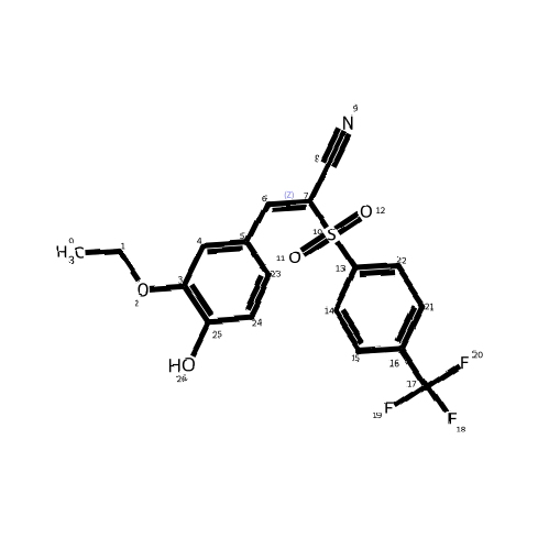 CCOc1cc(/C=C(/C#N)S(=O)(=O)c2ccc(C(F)(F)F)cc2)ccc1O